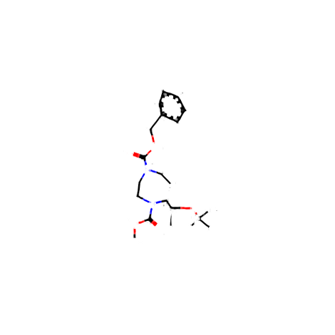 C[C@H](O[Si](C)(C)C(C)(C)C)[C@H]1CCN(C(=O)OCc2ccccc2)CCN1C(=O)OC(C)(C)C